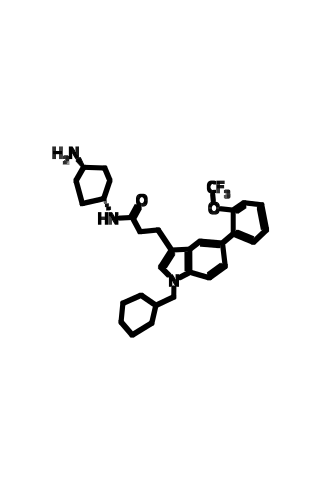 N[C@H]1CC[C@H](NC(=O)CCc2cn(CC3CCCCC3)c3ccc(-c4ccccc4OC(F)(F)F)cc23)CC1